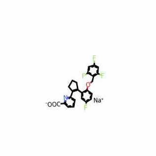 O=C([O-])c1cccc(C2=C(c3cc(F)ccc3OCc3c(F)cc(F)cc3F)CCC2)n1.[Na+]